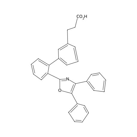 O=C(O)CCc1cccc(-c2ccccc2-c2nc(-c3ccccc3)c(-c3ccccc3)o2)c1